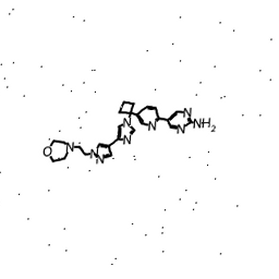 Nc1ncc(-c2ccc(C3(n4cnc(-c5cnn(CCN6CCOCC6)c5)c4)CCC3)cn2)cn1